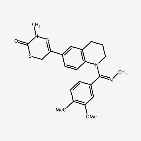 C/N=C(/c1ccc(OC)c(OC)c1)N1CCCc2cc(C3=NN(C)C(=O)SC3)ccc21